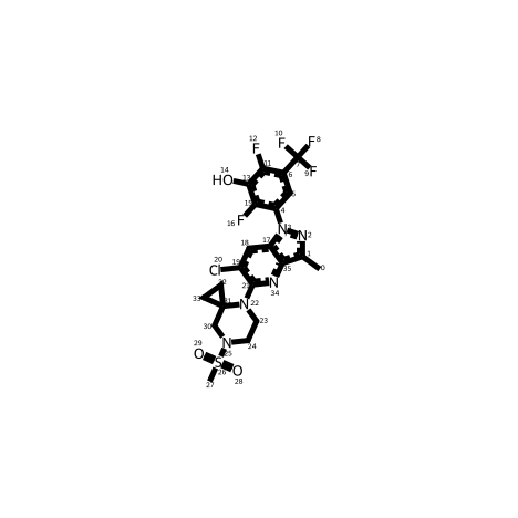 Cc1nn(-c2cc(C(F)(F)F)c(F)c(O)c2F)c2cc(Cl)c(N3CCN(S(C)(=O)=O)CC34CC4)nc12